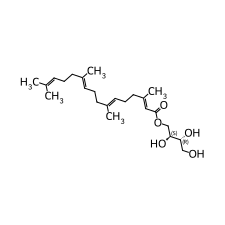 CC(C)=CCCC(C)=CCCC(C)=CCCC(C)=CC(=O)OC[C@H](O)[C@H](O)CO